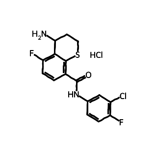 Cl.NC1CCSc2c(C(=O)Nc3ccc(F)c(Cl)c3)ccc(F)c21